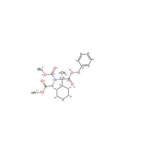 CCCOC(=O)CN(C(=O)OC(C)(C)C)[C@@](C)(C(=O)OCc1ccccc1)C1CCCCC1